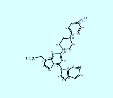 O=C(O)Cn1cnc2c(-n3nnc4ccncc43)nc(N3CCN(c4ccc(O)cc4)CC3)nc21